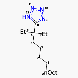 CCCCCCCCCCCCC(CC)(CC)c1nnn[nH]1